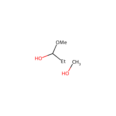 CCC(O)OC.CO